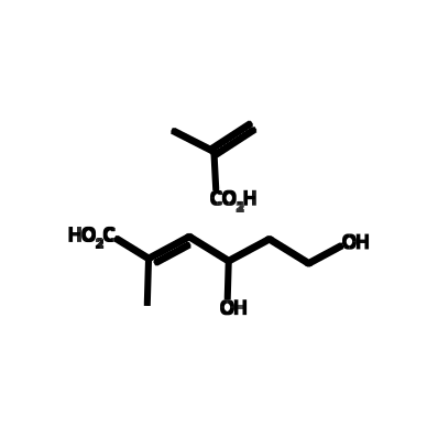 C=C(C)C(=O)O.CC(=CC(O)CCO)C(=O)O